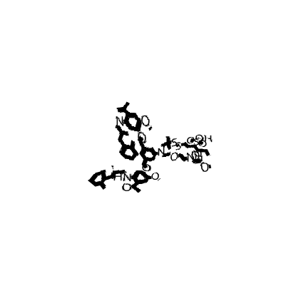 C=C(C)c1cc(OC)c(OCc2cc(COc3cc(NC[C@@H](C)Cc4ccccc4C)c(C(C)=O)cc3OC)cc(N(CCOCCNCCOC)CC(C)(C)SSCCC(C(=O)CC)S(=O)(=O)O)c2)cc1/N=C\C(C)Cc1ccccc1C